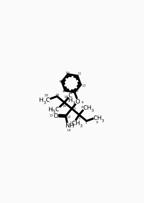 CCC(C)(C)C(Oc1ccccc1)(C([NH])=O)C(C)(C)CC